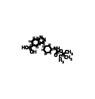 CC(C)(C)OC(=O)N[C@@H]1CCC[C@H](c2nnc3ccc(B(O)O)cn23)C1